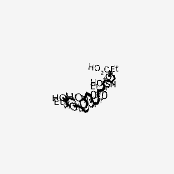 CC[C@@H](C(=O)[C@@H](C)[C@@H](O)[C@H](C)[C@]1(S)O[C@@H]([C@@H](CC)C(=O)O)CC[C@@H]1C)[C@H]1O[C@]2(C=C[C@@H](O)[C@]3(CC[C@@](C)([C@H]4CC[C@](O)(CC)[C@H](C)O4)O3)O2)[C@H](C)C[C@@H]1C